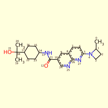 CC1CCN1c1ccc2cc(C(=O)NC3CCC(C(C)(C)O)CC3)cnc2n1